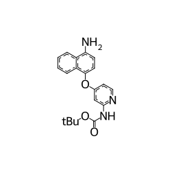 CC(C)(C)OC(=O)Nc1cc(Oc2ccc(N)c3ccccc23)ccn1